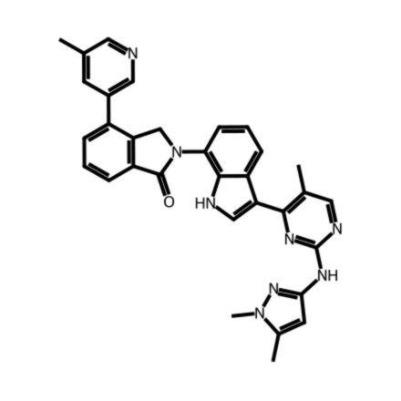 Cc1cncc(-c2cccc3c2CN(c2cccc4c(-c5nc(Nc6cc(C)n(C)n6)ncc5C)c[nH]c24)C3=O)c1